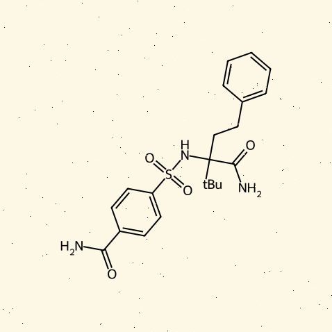 CC(C)(C)C(CCc1ccccc1)(NS(=O)(=O)c1ccc(C(N)=O)cc1)C(N)=O